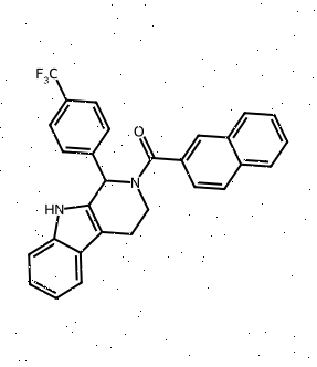 O=C(c1ccc2ccccc2c1)N1CCc2c([nH]c3ccccc23)C1c1ccc(C(F)(F)F)cc1